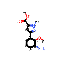 COC(=O)c1cc(-c2cccc(N)c2OC)nn1C